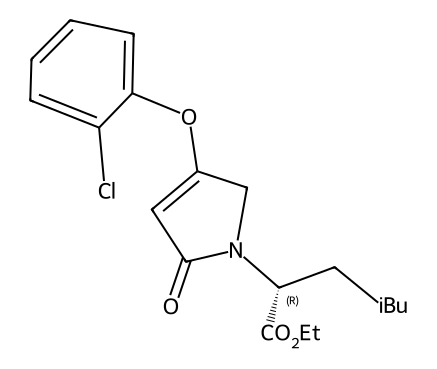 CCOC(=O)[C@@H](CC(C)CC)N1CC(Oc2ccccc2Cl)=CC1=O